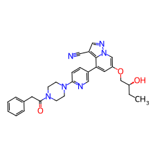 CC[C@H](O)COc1cc(-c2ccc(N3CCN(C(=O)Cc4ccccc4)CC3)nc2)c2c(C#N)cnn2c1